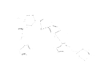 C[C@H]1CC[C@H](C(=O)Nc2cc(-c3cccc(NCC4CCOCC4)n3)c(Cl)cn2)CN1C(=O)OCc1ccccc1